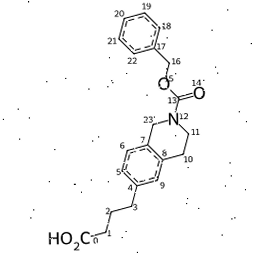 O=C(O)CCCc1ccc2c(c1)CCN(C(=O)OCc1ccccc1)C2